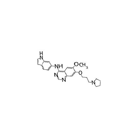 COc1cc2c(Nc3ccc4cc[nH]c4c3)ncnc2cc1OCCCN1CCCC1